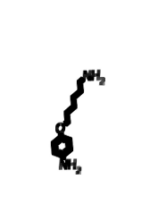 NCCCCCCOc1ccc(N)cc1